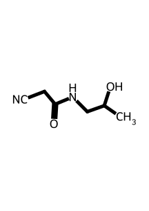 CC(O)CNC(=O)CC#N